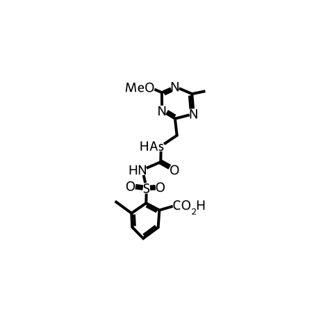 COc1nc(C)nc(C[AsH]C(=O)NS(=O)(=O)c2c(C)cccc2C(=O)O)n1